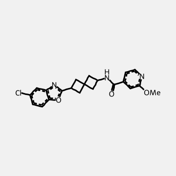 COc1cc(C(=O)NC2CC3(C2)CC(c2nc4cc(Cl)ccc4o2)C3)ccn1